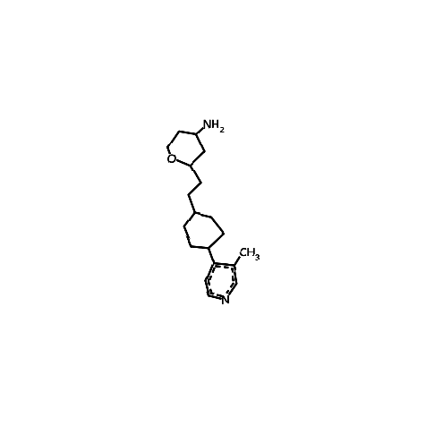 Cc1cnccc1C1CCC(CCC2CC(N)CCO2)CC1